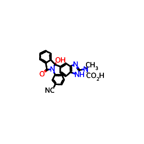 CN(C(=O)O)c1nc2cc(C3(O)c4ccccc4C(=O)N3c3cccc(C#N)c3)ccc2[nH]1